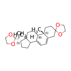 CC1([C@H]2CCC3C4=CC=C5CC6(CC[C@@]5(C)[C@@H]4CC[C@@]32C)OCCO6)OCCO1